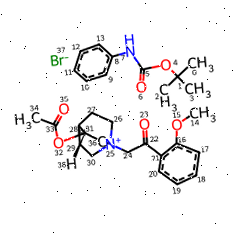 CC(C)(C)OC(=O)Nc1ccccc1.COc1ccccc1C(=O)C[N+]12CCC(CC1)[C@@H](OC(C)=O)C2.[Br-]